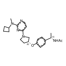 CC(=O)N[C@@H](C)c1ccc(O[C@@H]2CCN(c3ccnc(N(C)C4CCC4)n3)C2)cc1